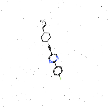 CC=C[C@H]1CC[C@H](C#Cc2cnc(-c3ccc(F)cc3)nc2)CC1